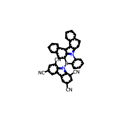 N#Cc1cc(C#N)c2c(c1)c1cc(C#N)cc(C#N)c1n2B1c2ccccc2-n2c3ccc4ccccc4c3c3c4ccccc4cc1c32